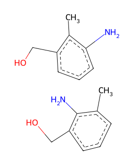 Cc1c(N)cccc1CO.Cc1cccc(CO)c1N